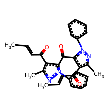 CC=CC(=O)c1c(C)nn(-c2ccccc2)c1C(=O)c1c(C(=O)C=CC)c(C)nn1-c1ccccc1